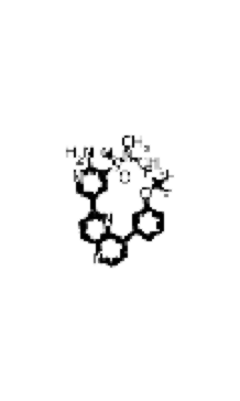 CN(C)S(=O)(=O)c1cc(-c2ccc3nccc(-c4cccc(OC(F)(F)F)c4)c3n2)cnc1N